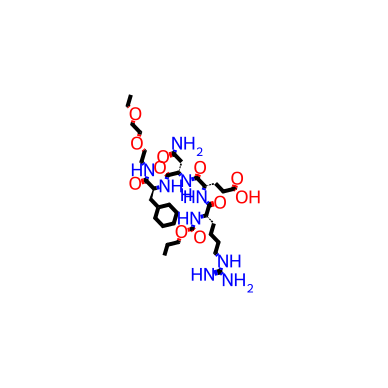 CCCOC(=O)N[C@@H](CCCCNC(=N)N)C(=O)N[C@@H](CCC(=O)O)C(=O)N[C@@H](CC(N)=O)C(=O)N[C@@H](CC1CCCCC1)C(=O)NCCOCCOCC